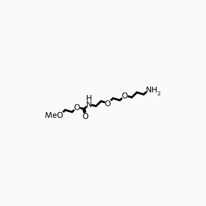 COCCOC(=O)NCCOCCOCCCN